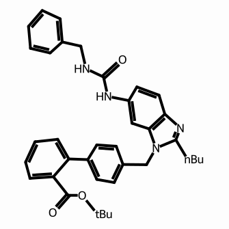 CCCCc1nc2ccc(NC(=O)NCc3ccccc3)cc2n1Cc1ccc(-c2ccccc2C(=O)OC(C)(C)C)cc1